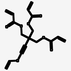 C=COC#CC(COC(=O)C=C)(COC(=O)C=C)COC(=O)C=C